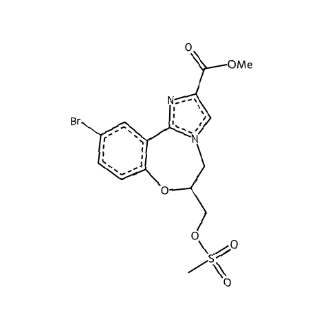 COC(=O)c1cn2c(n1)-c1cc(Br)ccc1OC(COS(C)(=O)=O)C2